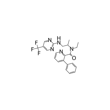 CCN(C(=O)c1ncccc1-c1ccccc1)C(C)CNc1ncc(C(F)(F)F)cn1